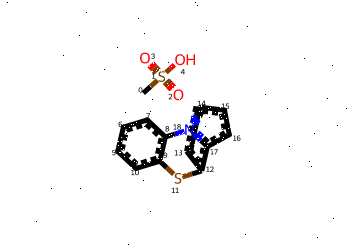 CS(=O)(=O)O.c1ccc2c(c1)Sc1cc3ccc1n3-2